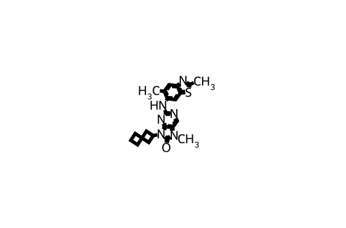 Cc1nc2cc(C)c(Nc3ncc4c(n3)n(C3CC5(CCC5)C3)c(=O)n4C)cc2s1